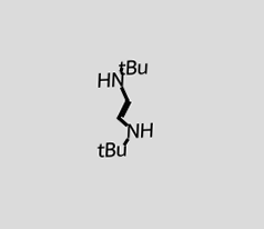 CC(C)(C)N/C=C/NC(C)(C)C